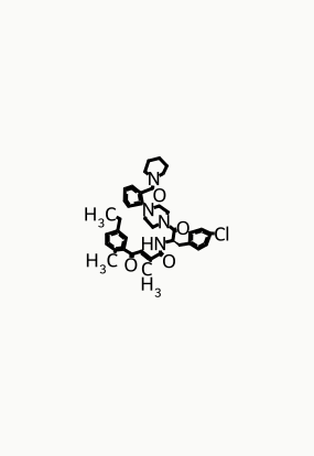 CCc1ccc(C)c(C(=O)/C=C(\C)C(=O)N[C@H](Cc2ccc(Cl)cc2)C(=O)N2CCN(c3ccccc3C(=O)N3CCCCC3)CC2)c1